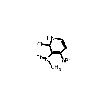 CCCC1=C(N(C)CC)C(Cl)NC=C1